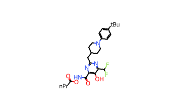 CCCC(=O)ONC(=O)c1nc(CC2CCN(c3ccc(C(C)(C)C)cc3)CC2)nc(C(F)F)c1O